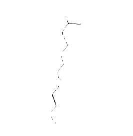 CCCC(C)OCCOCCOCCC(CC)CC